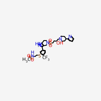 CS(=O)(=O)NCCSc1cc(-c2n[nH]c3c2CN(S(=O)(=O)CCC(O)CN2CCC(c4ccccn4)CC2)CC3)ccc1C(F)(F)F